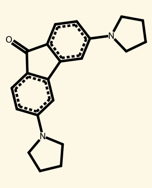 O=C1c2ccc(N3CCCC3)cc2-c2cc(N3CCCC3)ccc21